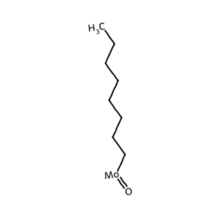 CCCCCCC[CH2][Mo]=[O]